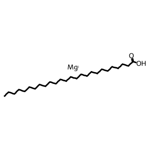 CCCCCCCCCCCCCCCCCCCCCCCCCC(=O)O.[Mg]